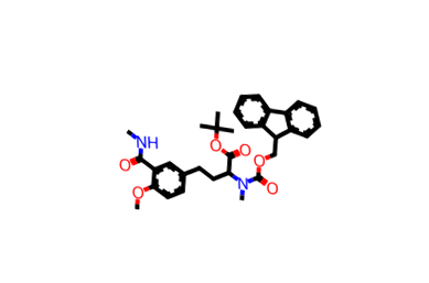 CNC(=O)c1cc(CCC(C(=O)OC(C)(C)C)N(C)C(=O)OCC2c3ccccc3-c3ccccc32)ccc1OC